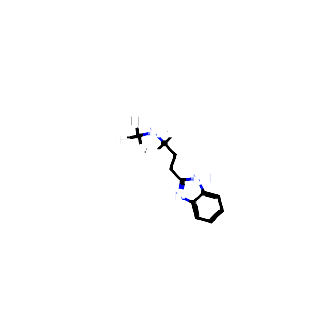 [2H]C([2H])([2H])NC([2H])([2H])CCc1nc2ccccc2[nH]1